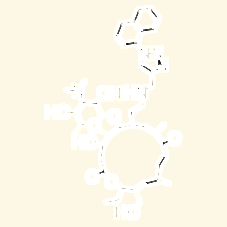 CC[C@H]1OC(=O)C[C@@H](O)[C@H](C)[C@@H](O[C@@H]2O[C@H](C)C(O)C(N(C)C)C2O)[C@@H](CCNCc2cn(-c3cccc4ccccc34)nn2)C[C@@H](C)C(=O)/C=C/C(C)=C/[C@@H]1CO